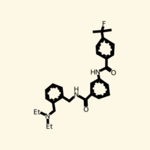 CCN(CC)Cc1ccccc1CNC(=O)c1cccc(NC(=O)c2ccc(C(C)(C)F)cc2)c1